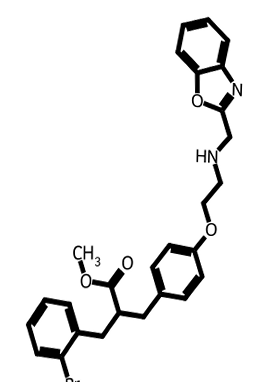 COC(=O)C(Cc1ccc(OCCNCc2nc3ccccc3o2)cc1)Cc1ccccc1Br